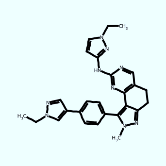 CCn1cc(-c2ccc(-c3c4c(nn3C)CCc3cnc(Nc5ccn(CC)n5)nc3-4)cc2)cn1